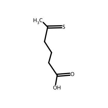 CC(=S)CCCC(=O)O